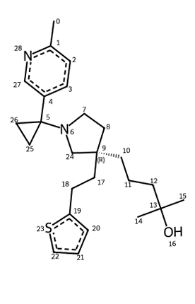 Cc1ccc(C2(N3CC[C@@](CCCC(C)(C)O)(CCc4cccs4)C3)CC2)cn1